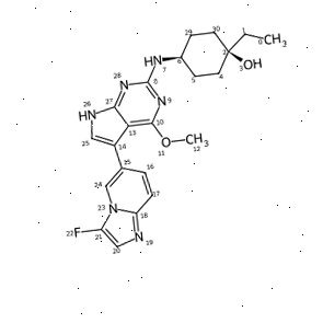 CC[C@]1(O)CC[C@@H](Nc2nc(OC)c3c(-c4ccc5ncc(F)n5c4)c[nH]c3n2)CC1